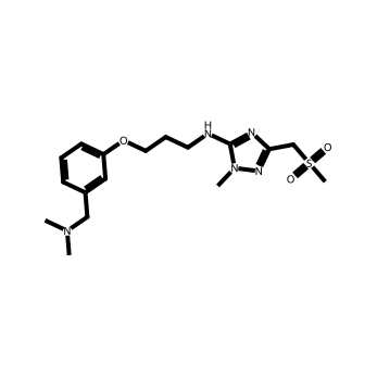 CN(C)Cc1cccc(OCCCNc2nc(CS(C)(=O)=O)nn2C)c1